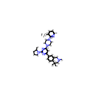 CC1CCCN1c1nc(-c2ccc3c(c2)CN(C)CC3(C)C)cc(N2CCN(c3ncccc3C(F)(F)F)CC2)n1